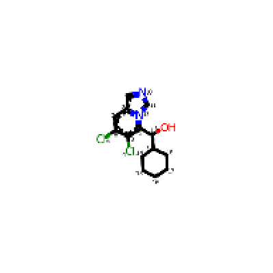 OC(c1c(Cl)c(Cl)cc2cncn12)C1CCCCC1